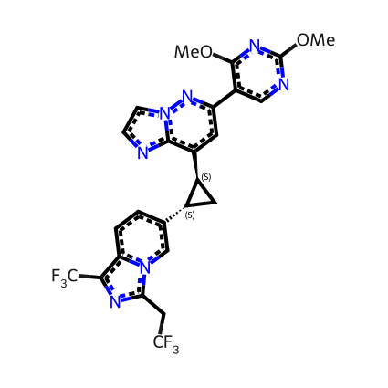 COc1ncc(-c2cc([C@H]3C[C@@H]3c3ccc4c(C(F)(F)F)nc(CC(F)(F)F)n4c3)c3nccn3n2)c(OC)n1